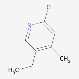 CCc1cnc(Cl)cc1C